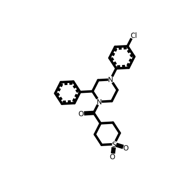 O=C(C1CCS(=O)(=O)CC1)N1CCN(c2ccc(Cl)cc2)CC1c1ccccc1